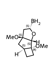 B[C@H]1C[C@@]2(OC)C[C@@H]3CC[C@]3(OC)[C@H]2O1